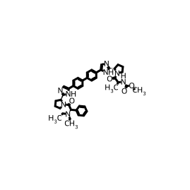 CCN(CC)[C@@H](C(=O)N1CCC[C@H]1c1ncc(-c2ccc(-c3ccc(-c4cnc([C@@H]5CCCN5C(=O)C(C)NC(=O)OC)[nH]4)cc3)cc2)[nH]1)c1ccccc1